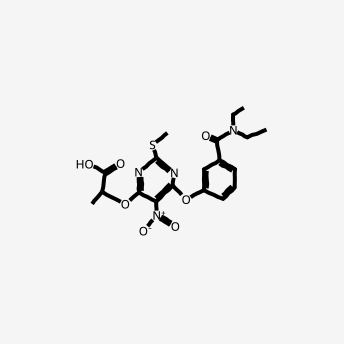 CCN(CC)C(=O)c1cccc(Oc2nc(SC)nc(OC(C)C(=O)O)c2[N+](=O)[O-])c1